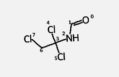 O=[C]NC(Cl)(Cl)CCl